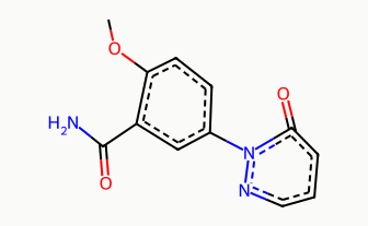 COc1ccc(-n2ncccc2=O)cc1C(N)=O